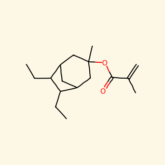 C=C(C)C(=O)OC1(C)CC2CC(C1)C(CC)C2CC